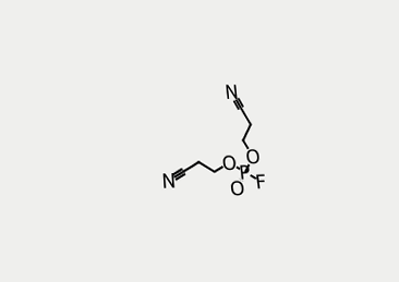 N#CCCOP(=O)(F)OCCC#N